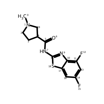 CN1CCC(C(=O)Nc2nc3c(F)cc(F)cc3s2)C1